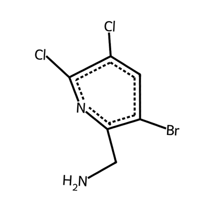 NCc1nc(Cl)c(Cl)cc1Br